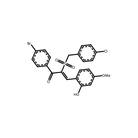 COc1ccc(C=C(C(=O)c2ccc(Br)cc2)S(=O)(=O)Cc2ccc(Cl)cc2)c(O)c1